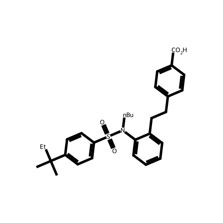 CCCCN(c1ccccc1CCc1ccc(C(=O)O)cc1)S(=O)(=O)c1ccc(C(C)(C)CC)cc1